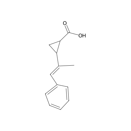 C/C(=C\c1ccccc1)C1CC1C(=O)O